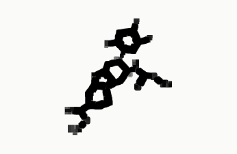 CC(C)(C)OC(=O)N[C@H]1Cc2c(nc3cc(C(=N)ON)ccn23)C[C@@H]1c1cc(F)c(F)cc1F